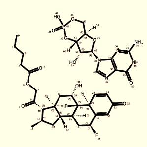 CCCCC(=O)OCC(=O)[C@H]1[C@H](C)C[C@H]2[C@@H]3C[C@H](F)C4=CC(=O)C=C[C@]4(C)[C@@]3(F)[C@@H](O)C[C@@]21C.Nc1nc2c(ncn2[C@@H]2O[C@@H]3COP(=O)(O)O[C@H]3[C@H]2O)c(=O)[nH]1